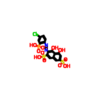 O=P(O)(O)c1cc(Cl)ccc1N=Nc1c(S(=O)(=O)O)cc2cc(S(=O)(=O)O)cc(O)c2c1O